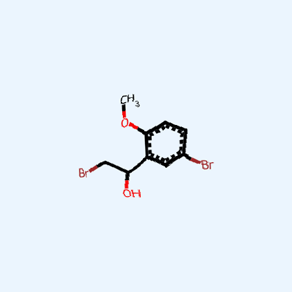 COc1ccc(Br)cc1C(O)CBr